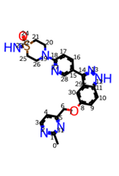 Cc1nccc(COc2ccc3[nH]nc(-c4ccc(N5CCS(=N)(=O)CC5)nc4)c3c2)n1